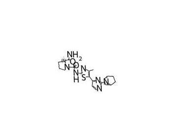 Cc1nc(NC(=O)N2CCC[C@@]2(C)C(N)=O)sc1-c1ccnc(N2C3CCC2CC3)n1